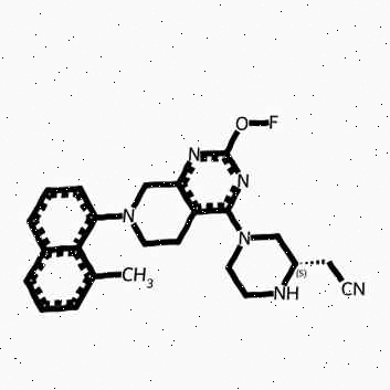 Cc1cccc2cccc(N3CCc4c(nc(OF)nc4N4CCN[C@@H](CC#N)C4)C3)c12